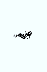 CN1C(=O)[C@H](NC(N)=O)Cc2ccc(Cl)c(Cc3ccccc3Cl)c21